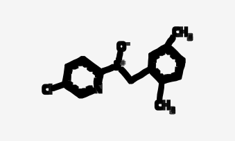 Cc1ccc(C)c(C[S+]([O-])c2ccc(Cl)cn2)c1